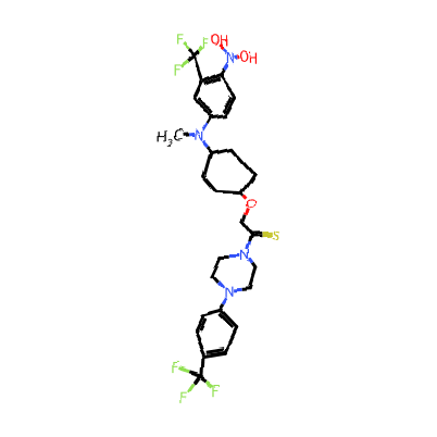 CN(c1ccc(N(O)O)c(C(F)(F)F)c1)C1CCC(OCC(=S)N2CCN(c3ccc(C(F)(F)F)cc3)CC2)CC1